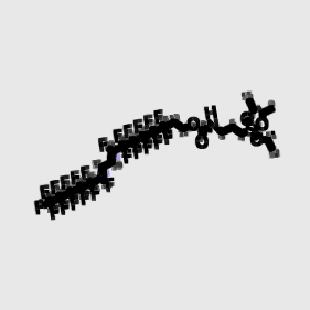 CCO[Si](CCCNC(=O)OCCC(F)(F)C(F)(F)C(F)(F)C(F)(F)C(F)(F)/C(F)=C/C=C(\F)C(F)(F)C(F)(F)C(F)(F)C(F)(F)C(F)(F)F)(OCC)OCC